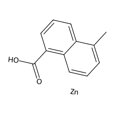 Cc1cccc2c(C(=O)O)cccc12.[Zn]